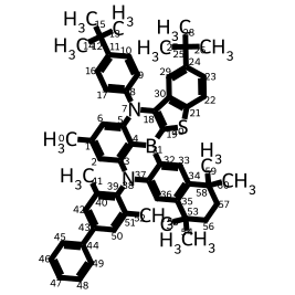 Cc1cc2c3c(c1)N(c1ccc(C(C)(C)C)cc1)c1c(sc4ccc(C(C)(C)C)cc14)B3c1cc3c(cc1N2c1c(C)cc(-c2ccccc2)cc1C)C(C)(C)CCC3(C)C